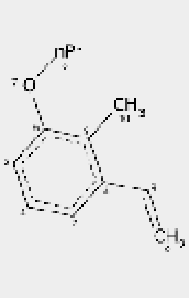 C=[C]c1cccc(OCCC)c1C